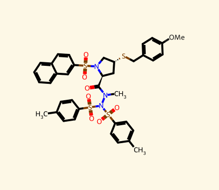 COc1ccc(CS[C@@H]2C[C@@H](C(=O)N(C)N(S(=O)(=O)c3ccc(C)cc3)S(=O)(=O)c3ccc(C)cc3)N(S(=O)(=O)c3ccc4ccccc4c3)C2)cc1